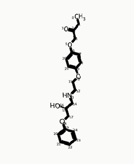 CCC(=O)COc1ccc(OCCNC[C@H](O)COc2ccccc2)cc1